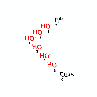 [Cu+2].[OH-].[OH-].[OH-].[OH-].[OH-].[OH-].[Ti+4]